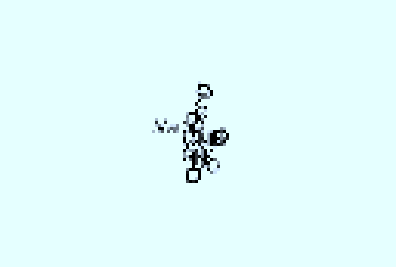 COC(=O)[C@H](CC(=O)OCc1ccccc1)NC(=O)N(Cc1ccccc1)N1C(=O)c2ccccc2C1=O